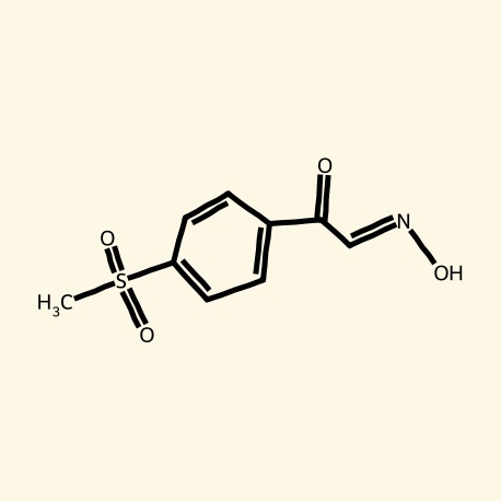 CS(=O)(=O)c1ccc(C(=O)C=NO)cc1